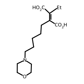 CC/C(C(=O)O)=C(/CCCCCN1CCOCC1)C(=O)O